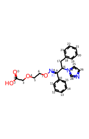 O=C(O)COCCO/N=C(\c1ccccc1)C(Cc1ccccc1)n1ccnc1